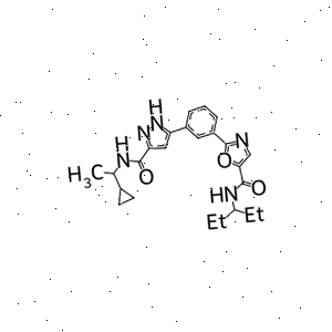 CCC(CC)NC(=O)c1cnc(-c2cccc(-c3cc(C(=O)NC(C)C4CC4)n[nH]3)c2)o1